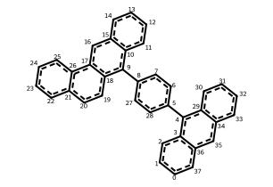 c1ccc2c(-c3ccc(-c4c5ccccc5cc5c4ccc4ccccc45)cc3)c3ccccc3cc2c1